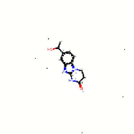 CC(O)c1ccc2c(c1)nc1n2CCC(=O)N1